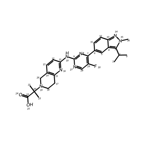 CC(C)c1c2cc(-c3nc(Nc4ccc5c(n4)CCN(C(C)(C)C(=O)O)C5)ncc3F)ccc2nn1C